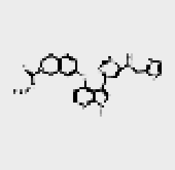 CC(C)(C)OC(=O)N1CCc2ccc(Oc3ccnc4[nH]cc(-c5cc(NCc6nccs6)ncn5)c34)cc2C1